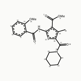 COC(=O)c1c(NC(=O)c2ccccc2OC)sc(C(=O)N2CCCCC2)c1C